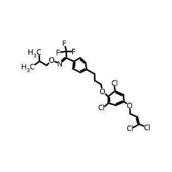 CC(C)CON=C(c1ccc(CCCOc2c(Cl)cc(OCC=C(Cl)Cl)cc2Cl)cc1)C(F)(F)F